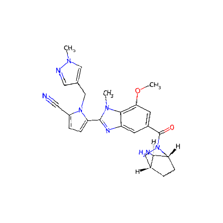 COc1cc(C(=O)N2C[C@H]3CC[C@@H]2[C@@H]3N)cc2nc(-c3ccc(C#N)n3Cc3cnn(C)c3)n(C)c12